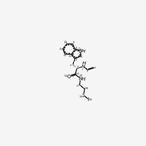 C=CN[C@@H](Cc1c[nH]c2ccccc12)C(=O)NCCSI